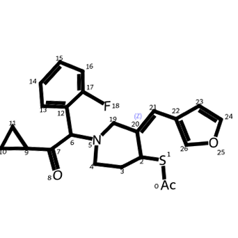 CC(=O)SC1CCN(C(C(=O)C2CC2)c2ccccc2F)C/C1=C/c1ccoc1